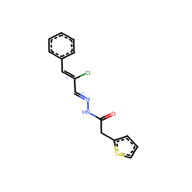 O=C(Cc1cccs1)N/N=C/C(Cl)=C/c1ccccc1